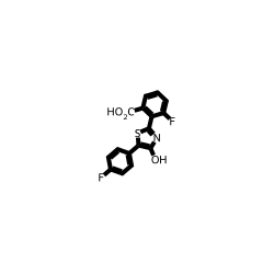 O=C(O)c1cccc(F)c1-c1nc(O)c(-c2ccc(F)cc2)s1